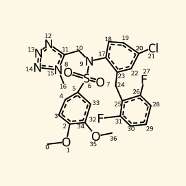 COc1ccc(S(=O)(=O)N(Cc2nnnn2C)c2ccc(Cl)cc2Cc2c(F)cccc2F)cc1OC